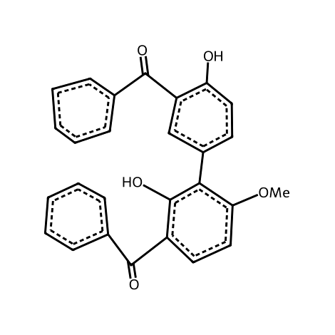 COc1ccc(C(=O)c2ccccc2)c(O)c1-c1ccc(O)c(C(=O)c2ccccc2)c1